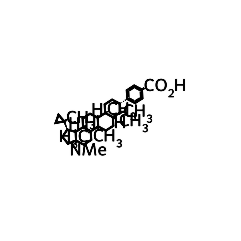 CN[C@]12CC[C@@H](C3(C)CC3)[C@@H]1[C@H]1CC[C@@H]3[C@@]4(C)CC[C@H](c5ccc(C(=O)O)cc5)C(C)(C)[C@@H]4CC[C@@]3(C)[C@]1(C)CC2